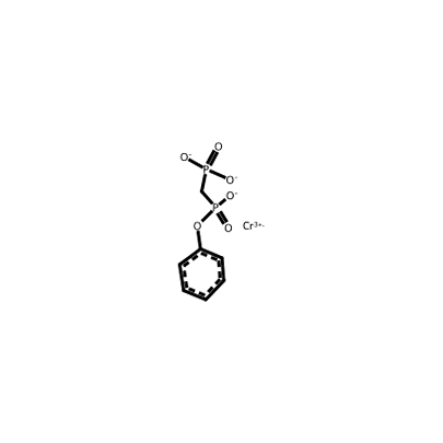 O=P([O-])([O-])CP(=O)([O-])Oc1ccccc1.[Cr+3]